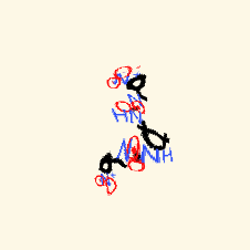 C/C(=N\OC(=O)NCC1(C)CC(NC(=O)O/N=C(\C)c2cccc([N+](=O)[O-])c2)CC(C)(C)C1)c1cccc([N+](=O)[O-])c1